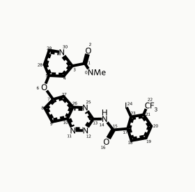 CNC(=O)c1cc(Oc2ccc3nnc(NC(=O)c4cccc(C(F)(F)F)c4I)nc3c2)ccn1